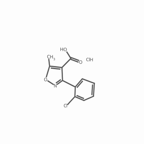 Cc1onc(-c2ccccc2Cl)c1C(=O)O.Cl